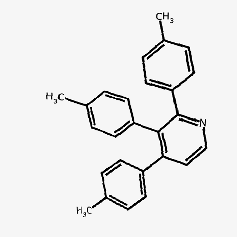 Cc1ccc(-c2ccnc(-c3ccc(C)cc3)c2-c2ccc(C)cc2)cc1